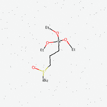 CCO[Si](CCC[S+]([O-])C(C)CC)(OCC)OCC